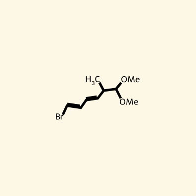 COC(OC)C(C)C=CC=CBr